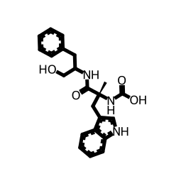 C[C@](Cc1c[nH]c2ccccc12)(NC(=O)O)C(=O)NC(CO)Cc1ccccc1